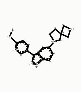 CC(C)Oc1ccc(-c2n[nH]c3ccc(N4CCC5(CNC5)C4)cc23)cn1